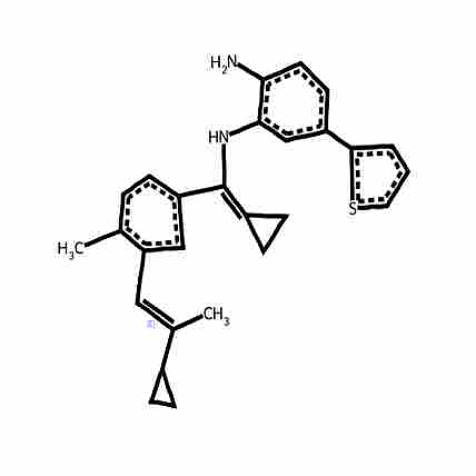 C/C(=C\c1cc(C(Nc2cc(-c3cccs3)ccc2N)=C2CC2)ccc1C)C1CC1